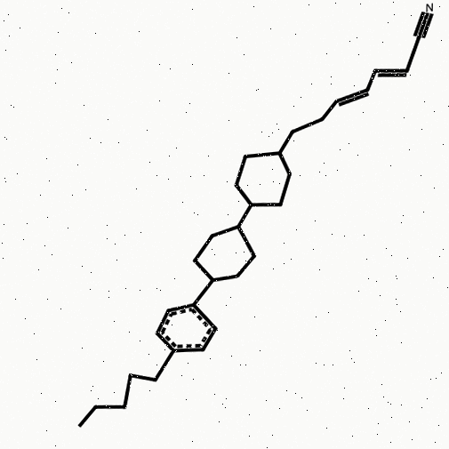 CCCCCc1ccc(C2CCC(C3CCC(CCC=CC=CC#N)CC3)CC2)cc1